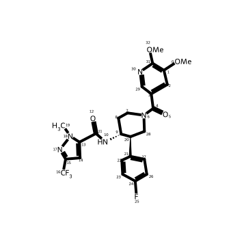 COc1cc(C(=O)N2CC[C@@H](NC(=O)c3cc(C(F)(F)F)nn3C)[C@H](c3ccc(F)cc3)C2)cnc1OC